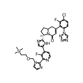 C[Si](C)(C)CCOCn1ccnc1-c1nccc(-c2cnc([C@@H]3CCC4CC(c5c(-n6cnnn6)ccc(Cl)c5F)=CC(=O)N43)[nH]2)c1F